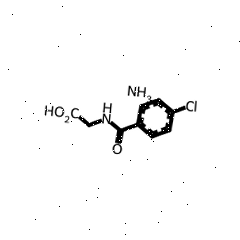 N.O=C(O)CNC(=O)c1ccc(Cl)cc1